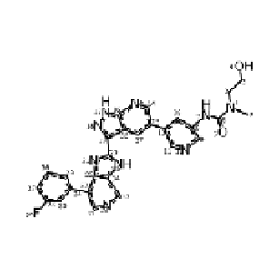 CN(CCO)C(=O)Nc1cncc(-c2cnc3[nH]nc(-c4nc5c(-c6cccc(F)c6)cncc5[nH]4)c3c2)c1